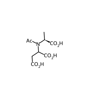 CC(=O)N(C(CC(=O)O)C(=O)O)[C@@H](C)C(=O)O